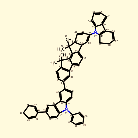 CC1(C)c2ccc(-c3ccc4c(c3)c3cc(C5=CCCC=C5)ccc3n4-c3ccccc3)cc2-c2ccc3c(c21)C(C)(C)C1C=CC(n2c4c(c5ccccc52)C=CCC4)=CC31